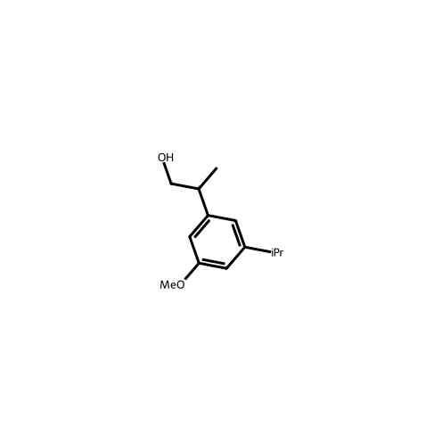 COc1cc([C](C)CO)cc(C(C)C)c1